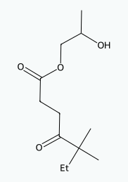 CCC(C)(C)C(=O)CCC(=O)OCC(C)O